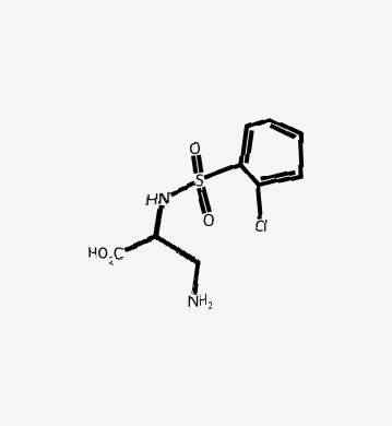 NCC(NS(=O)(=O)c1ccccc1Cl)C(=O)O